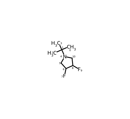 CC(C)(C)N1CC(F)C(F)C1